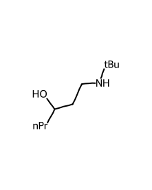 CCCC(O)CCNC(C)(C)C